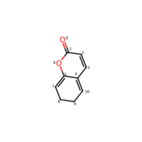 O=c1ccc2c(o1)=CCCC=2